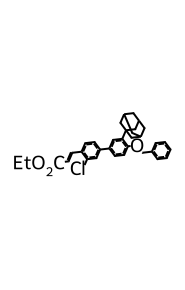 CCOC(=O)/C=C/c1ccc(-c2ccc(OCc3ccccc3)c(C34CC5CC(CC(C5)C3)C4)c2)cc1Cl